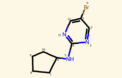 Brc1cnc(NC2CCCC2)nc1